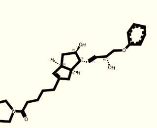 O=C(CCCCC1=C[C@H]2C[C@@H](O)[C@H](/C=C/[C@@H](O)COc3ccccc3)[C@H]2C1)N1CCCCC1